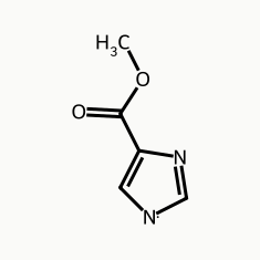 COC(=O)C1=C[N]C=N1